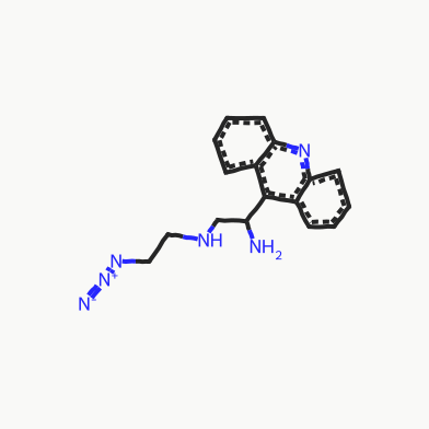 [N-]=[N+]=NCCNCC(N)c1c2ccccc2nc2ccccc12